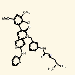 COc1cc(OC)c(Cl)c(-c2cc3cnc(Nc4ccccn4)cc3n(Cc3cccc(NC(=O)/C=C/CN(C)C)c3)c2=O)c1